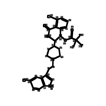 O=C1NC(C2CCN(CCc3c[nH]c4ccc(Cl)cc34)CC2)N(OC(=O)C(F)(F)F)c2cccc(Cl)c21